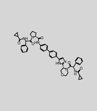 O=C(N[C@@H](C(=O)N1CCC[C@H]1C(=O)Nc1ccc(-c2ccc(-c3cnc([C@@H]4COCCN4C(=O)[C@H](NC(=O)C4CC4)c4ccccc4)[nH]3)cc2)cc1)c1ccccc1)C1CC1